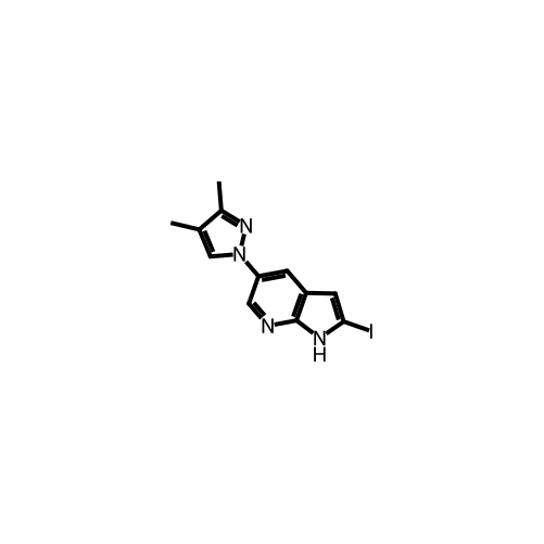 Cc1cn(-c2cnc3[nH]c(I)cc3c2)nc1C